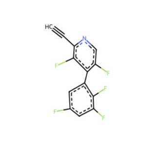 C#Cc1ncc(F)c(-c2cc(F)cc(F)c2F)c1F